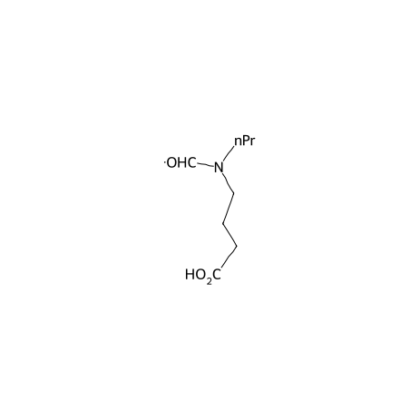 CCCN([C]=O)CCCC(=O)O